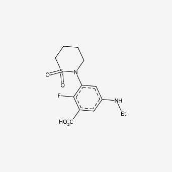 CCNc1cc(C(=O)O)c(F)c(N2CCCCS2(=O)=O)c1